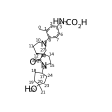 Cc1cc(NC(=O)O)ccc1N1CCC[C@]2(CCN(C3CCC(C)(O)CC3)C2=O)C1